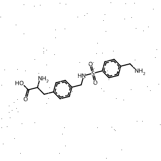 NCc1ccc(S(=O)(=O)NCc2ccc(CC(N)C(=O)O)cc2)cc1